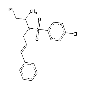 CC(C)CC(C)N(CC=Cc1ccccc1)S(=O)(=O)c1ccc(Cl)cc1